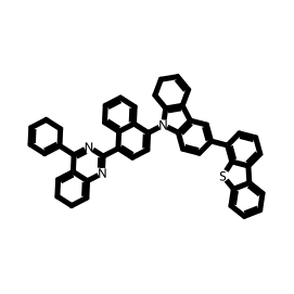 C1=CCCC(c2nc(-c3ccc(-n4c5c(c6cc(-c7cccc8c7sc7ccccc78)ccc64)C=CCC5)c4ccccc34)nc3c2=CCCC=3)=C1